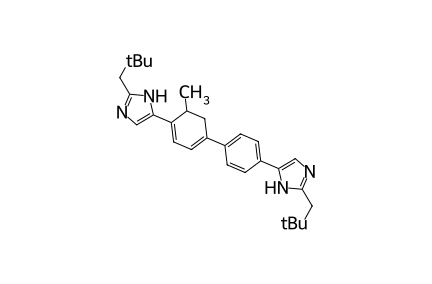 CC1CC(c2ccc(-c3cnc(CC(C)(C)C)[nH]3)cc2)=CC=C1c1cnc(CC(C)(C)C)[nH]1